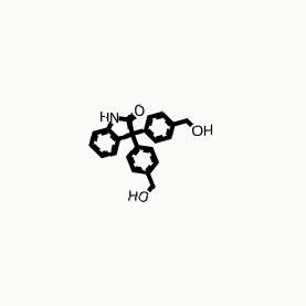 O=C1Nc2ccccc2C1(c1ccc(CO)cc1)c1ccc(CO)cc1